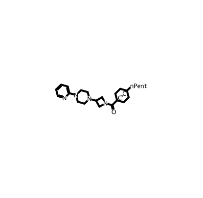 CCCCCC12CCC(C(=O)N3CC(N4CCN(c5ccccn5)CC4)C3)(CC1)CC2